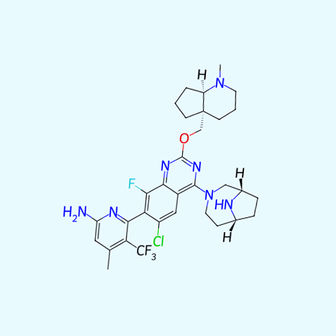 Cc1cc(N)nc(-c2c(Cl)cc3c(N4CC[C@H]5CC[C@@H](C4)N5)nc(OC[C@]45CCC[C@H]4N(C)CCC5)nc3c2F)c1C(F)(F)F